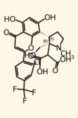 CN1CC[C@@H](c2c(O)cc(O)c3c(=O)cc(-c4ccc(C(F)(F)F)cc4Cl)oc23)[C@]1(CO)C(C(=O)O)C(=O)O